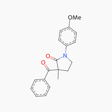 COc1ccc(N2CCC(C)(C(=O)c3ccccc3)C2=O)cc1